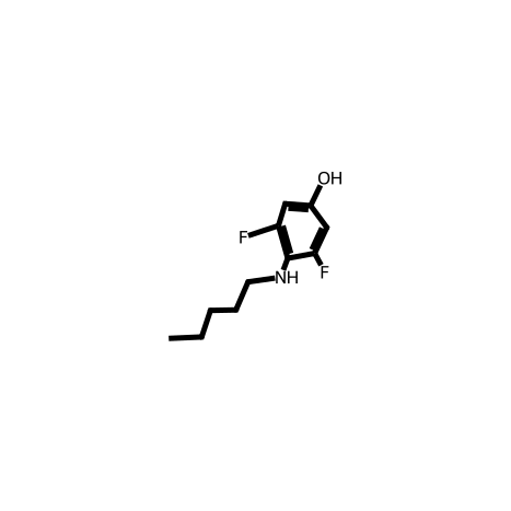 CCCCCNc1c(F)cc(O)cc1F